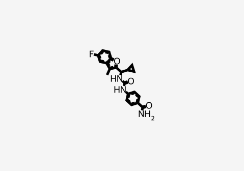 Cc1c(C(NC(=O)Nc2ccc(C(N)=O)cc2)C2CC2)oc2ccc(F)cc12